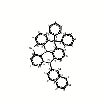 c1ccc([Si]2(c3ccccc3)c3cccc4c3B3c5c(cccc5N(c5ccc6ccccc6c5)c5cccc2c53)O4)cc1